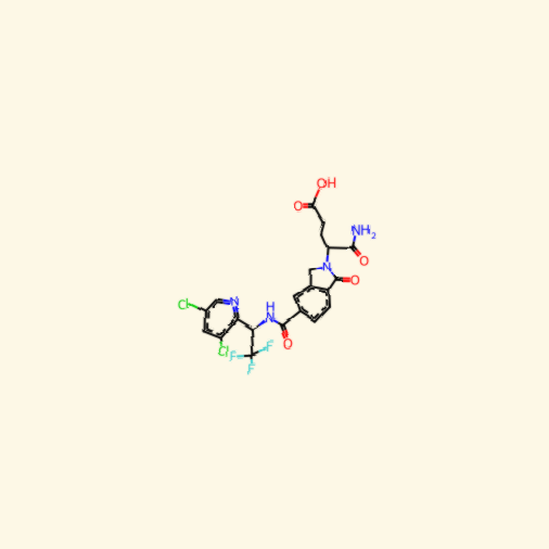 NC(=O)C(CCC(=O)O)N1Cc2cc(C(=O)N[C@H](c3ncc(Cl)cc3Cl)C(F)(F)F)ccc2C1=O